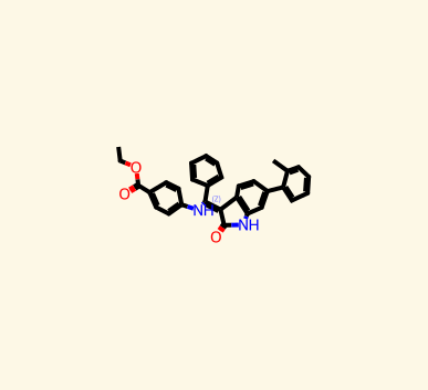 CCOC(=O)c1ccc(N/C(=C2\C(=O)Nc3cc(-c4ccccc4C)ccc32)c2ccccc2)cc1